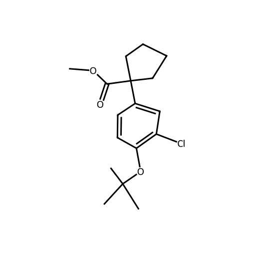 COC(=O)C1(c2ccc(OC(C)(C)C)c(Cl)c2)CCCC1